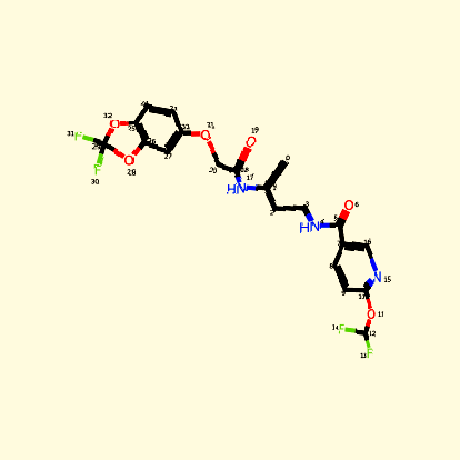 C=C(CCNC(=O)c1ccc(OC(F)F)nc1)NC(=O)COc1ccc2c(c1)OC(F)(F)O2